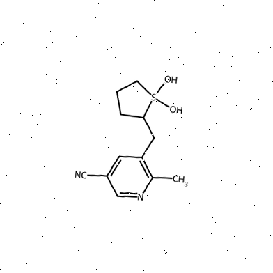 Cc1ncc(C#N)cc1CC1CCCS1(O)O